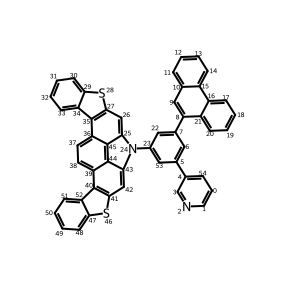 c1cncc(-c2cc(-c3cc4ccccc4c4ccccc34)cc(-n3c4cc5sc6ccccc6c5c5ccc6c7c(cc3c6c54)sc3ccccc37)c2)c1